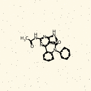 CC(=O)Nc1nc(-c2ccccc2N(C(=O)O)c2ccccc2)c2nc[nH]c2n1